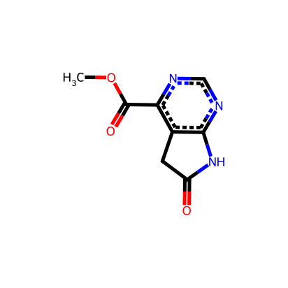 COC(=O)c1ncnc2c1CC(=O)N2